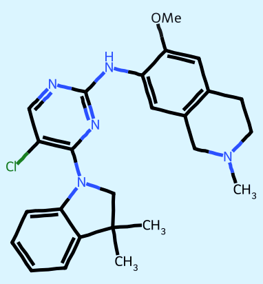 COc1cc2c(cc1Nc1ncc(Cl)c(N3CC(C)(C)c4ccccc43)n1)CN(C)CC2